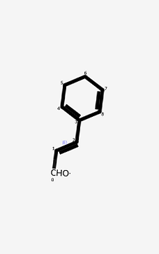 O=[C]/C=C/C1=CCCC=C1